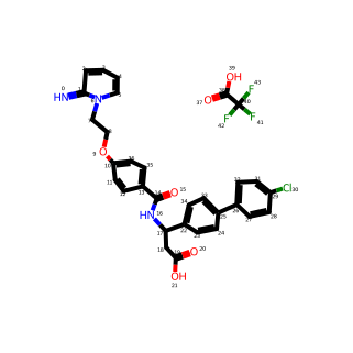 N=c1ccccn1CCOc1ccc(C(=O)NC(CC(=O)O)c2ccc(-c3ccc(Cl)cc3)cc2)cc1.O=C(O)C(F)(F)F